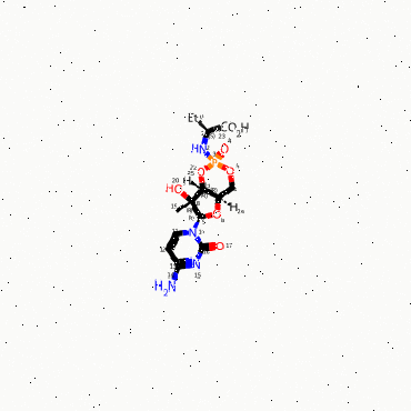 CC[C@H](NP1(=O)OC[C@H]2O[C@@H](n3ccc(N)nc3=O)[C@](C)(O)[C@@H]2O1)C(=O)O